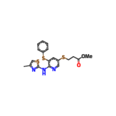 COC(=O)CCSc1cnc(Nc2nc(C)cs2)c(Sc2ccccc2)c1